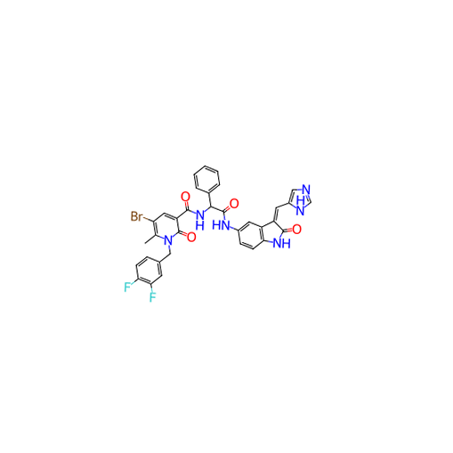 Cc1c(Br)cc(C(=O)NC(C(=O)Nc2ccc3c(c2)C(=Cc2cnc[nH]2)C(=O)N3)c2ccccc2)c(=O)n1Cc1ccc(F)c(F)c1